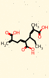 C=C(CC=C(C(=O)O)C(C=C(C)C(=O)O)CC)C(=O)O